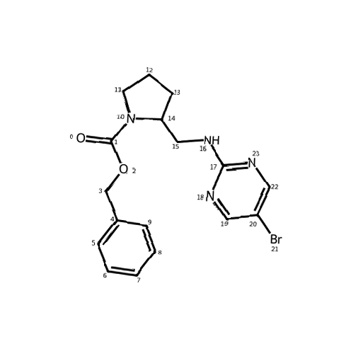 O=C(OCc1ccccc1)N1CCCC1CNc1ncc(Br)cn1